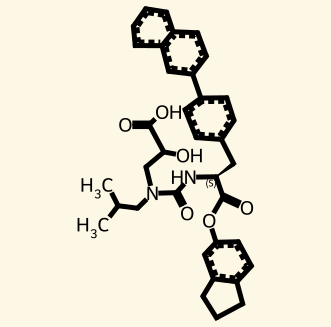 CC(C)CN(CC(O)C(=O)O)C(=O)N[C@@H](Cc1ccc(-c2ccc3ccccc3c2)cc1)C(=O)Oc1ccc2c(c1)CCC2